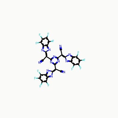 N#CC(=C1N=c2c(F)c(F)c(F)c(F)c2=N1)c1nc(C(C#N)=C2N=c3c(F)c(F)c(F)c(F)c3=N2)nc(C(C#N)=C2N=c3c(F)c(F)c(F)c(F)c3=N2)n1